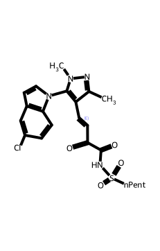 CCCCCS(=O)(=O)NC(=O)C(=O)/C=C/c1c(C)nn(C)c1-n1ccc2cc(Cl)ccc21